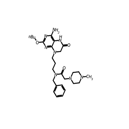 CCCCOc1nc(N)c2c(n1)N(CCCN(Cc1ccccc1)C(=O)CN1CCN(C)CC1)CC(=O)N2